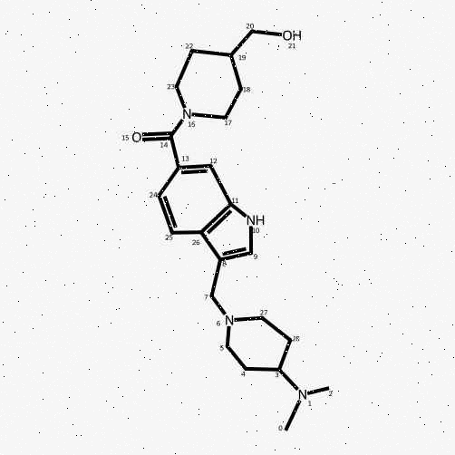 CN(C)C1CCN(Cc2c[nH]c3cc(C(=O)N4CCC(CO)CC4)ccc23)CC1